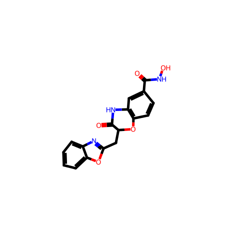 O=C(NO)c1ccc2c(c1)NC(=O)C(Cc1nc3ccccc3o1)O2